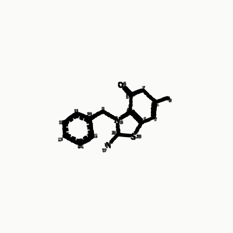 CC1=CC2=C(C(=O)C1)N(Cc1ccccc1)C([N])S2